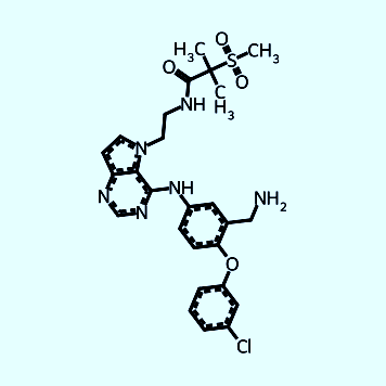 CC(C)(C(=O)NCCn1ccc2ncnc(Nc3ccc(Oc4cccc(Cl)c4)c(CN)c3)c21)S(C)(=O)=O